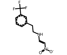 O=[N+]([O-])C=CNCCc1cccc(C(F)(F)F)c1